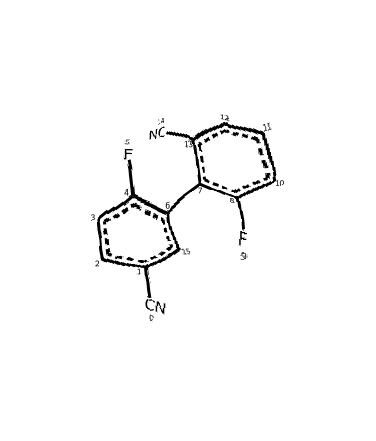 N#Cc1ccc(F)c(-c2c(F)cccc2C#N)c1